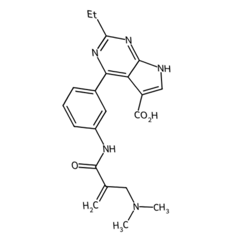 C=C(CN(C)C)C(=O)Nc1cccc(-c2nc(CC)nc3[nH]cc(C(=O)O)c23)c1